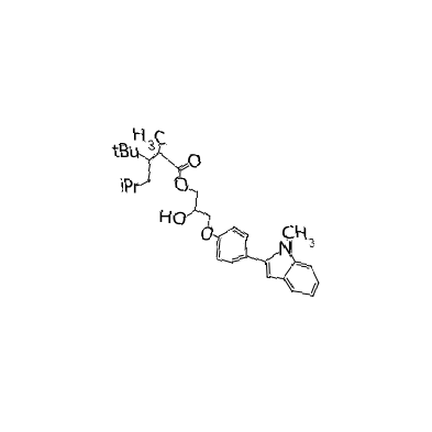 CC(C)CC(C(C)C(=O)OCC(O)COc1ccc(-c2cc3ccccc3n2C)cc1)C(C)(C)C